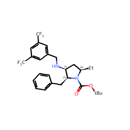 CC[C@@H]1C[C@H](NCc2cc(C(F)(F)F)cc(C(F)(F)F)c2)[C@H](Cc2ccccc2)N1C(=O)OC(C)(C)C